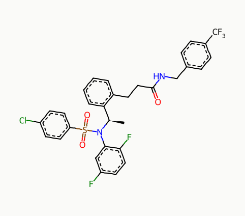 C[C@H](c1ccccc1CCC(=O)NCc1ccc(C(F)(F)F)cc1)N(c1cc(F)ccc1F)S(=O)(=O)c1ccc(Cl)cc1